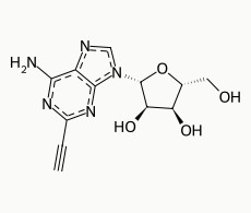 C#Cc1nc(N)c2ncn([C@@H]3O[C@H](CO)[C@@H](O)[C@H]3O)c2n1